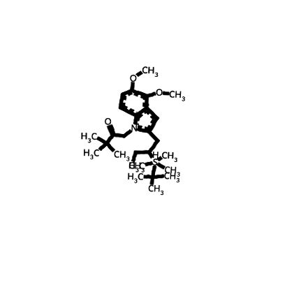 CCC(Cc1cc2c(OC)c(OC)ccc2n1CC(=O)C(C)(C)C)[SH](C)(C)(C)C(C)(C)C